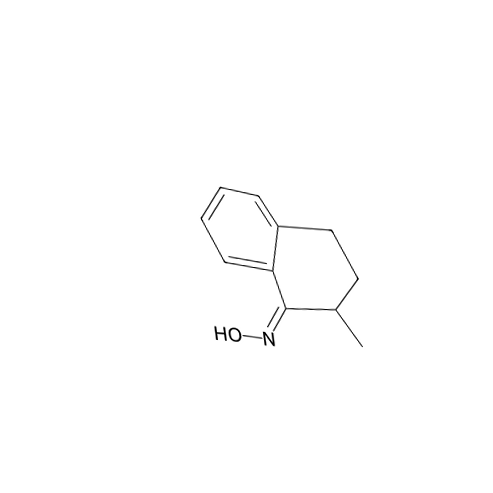 CC1CCc2ccccc2C1=NO